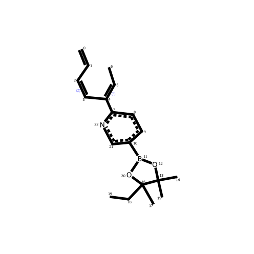 C=C/C=C\C(=C/C)c1ccc(B2OC(C)(C)C(C)(CC)O2)cn1